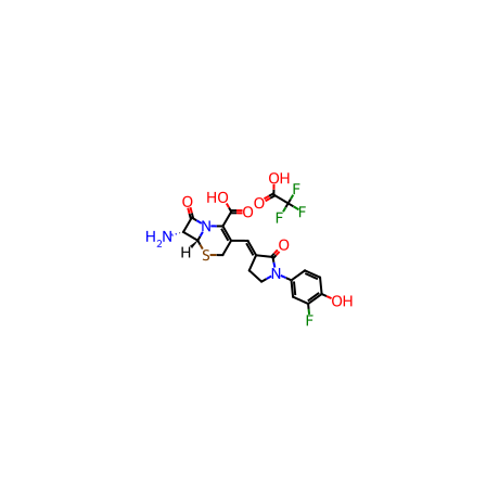 N[C@@H]1C(=O)N2C(C(=O)O)=C(C=C3CCN(c4ccc(O)c(F)c4)C3=O)CS[C@H]12.O=C(O)C(F)(F)F